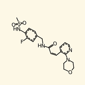 CS(=O)(=O)Nc1ccc(CNC(=O)/C=C\c2cccnc2N2CCOCC2)cc1F